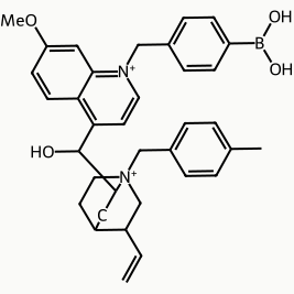 C=CC1C[N+]2(Cc3ccc(C)cc3)CCC1CC2C(O)c1cc[n+](Cc2ccc(B(O)O)cc2)c2cc(OC)ccc12